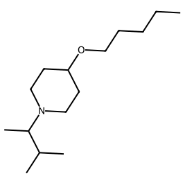 CCCCCOC1CCN(C(C)C(C)C)CC1